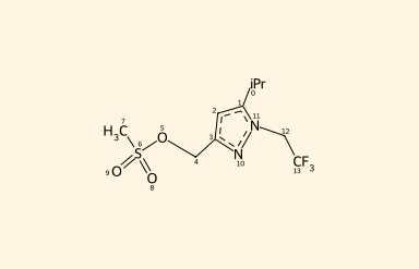 CC(C)c1cc(COS(C)(=O)=O)nn1CC(F)(F)F